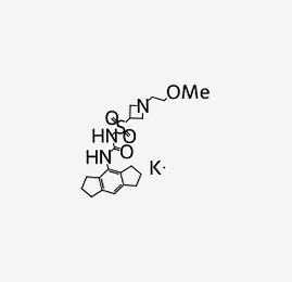 COCCN1CC(S(=O)(=O)NC(=O)Nc2c3c(cc4c2CCC4)CCC3)C1.[K]